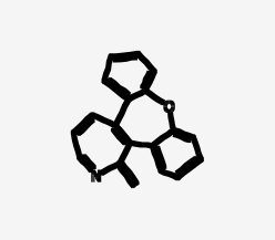 C=C1N=CC=CC2=C1c1ccccc1Oc1ccccc12